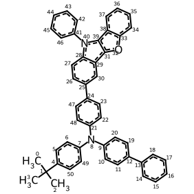 CC(C)(C)c1ccc(N(c2ccc(-c3ccccc3)cc2)c2ccc(-c3ccc4c(c3)c3oc5ccccc5c3n4-c3ccccc3)cc2)cc1